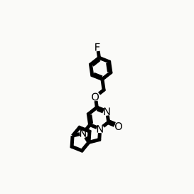 O=c1nc(OCc2ccc(F)cc2)cc2n1CC13CCC(CC1)N23